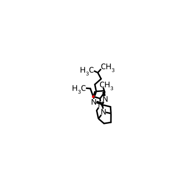 CCCC(CC)N1CC2CCC(C1)N2c1ncc(CCC(C)C)cn1